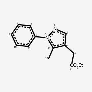 CCOC(=O)Cc1cnn(-c2ccccc2)c1C